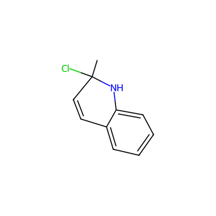 CC1(Cl)C=Cc2ccccc2N1